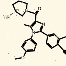 CN[C@@H]1CCCN(C(=O)c2nc(-c3ccc(C#N)c(F)c3)n(-c3ccc(OC)cc3)c2C)C1